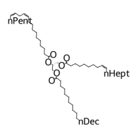 CCCCC/C=C\C/C=C\CCCCCCCCCC(=O)O[C@H](COC(=O)CCCCCCC/C=C\CCCCCCC)COC(=O)CCCCCCCCCCCCCCCCCCCC